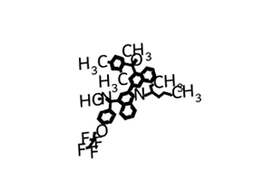 CCCCC(CC)Cn1c2c3ccccc3c(C(=O)c3c(C)cc(C)cc3C)cc2c2cc(/C(=N/O)c3ccc(OCC(F)(F)C(F)F)cc3)c3ccccc3c21